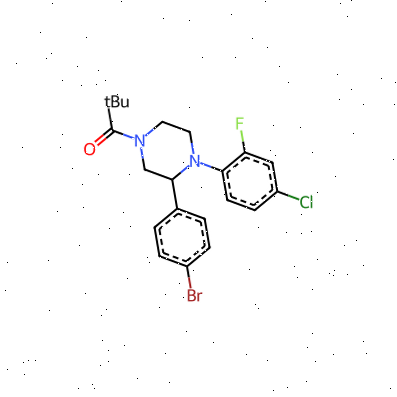 CC(C)(C)C(=O)N1CCN(c2ccc(Cl)cc2F)C(c2ccc(Br)cc2)C1